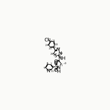 C[C@H](NS(=O)(=O)c1cccnc1)C(=O)NC1=NN=C(c2ccc(Cl)cc2)CS1